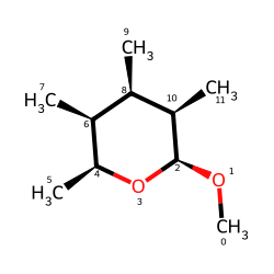 CO[C@H]1O[C@@H](C)[C@@H](C)[C@@H](C)[C@H]1C